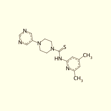 Cc1cc(C)nc(NC(=S)N2CCN(c3cncnc3)CC2)c1